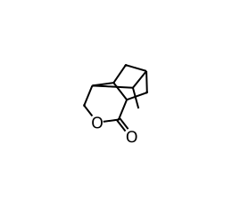 CC1C2CC3C(=O)OCC1C3C2